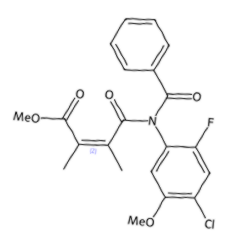 COC(=O)/C(C)=C(/C)C(=O)N(C(=O)c1ccccc1)c1cc(OC)c(Cl)cc1F